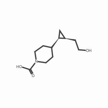 O=C(O)N1CCC([C@H]2C[C@H]2CCO)CC1